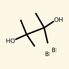 CC(C)(O)C(C)(C)O.[B].[B]